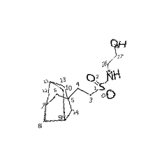 O=S(=O)(CCC12CC3CC(CC(C3)C1)C2)NCCO